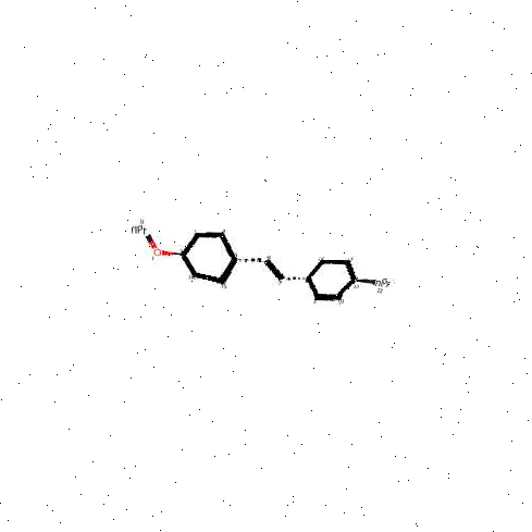 CCCO[C@H]1CC[C@H](CC[C@H]2CC[C@H](CCC)CC2)CC1